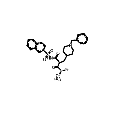 CCN(CC)C(=O)C(CC1CCN(Cc2ccccc2)CC1)C(=O)NS(=O)(=O)c1ccc2ccccc2c1.Cl